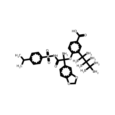 BC(Oc1ccc(C(=O)O)cc1C(B)(B)C(B)(B)C(B)(B)B)(C(=O)NS(=O)(=O)c1ccc(C(C)C)cc1)c1ccc2c(c1)OCO2